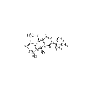 CCOc1ccc(C(C)(C)C)cc1C(=O)c1ccccc1Cl